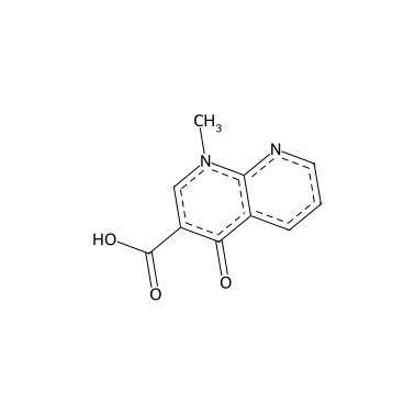 Cn1cc(C(=O)O)c(=O)c2cccnc21